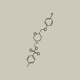 Cc1ccc(S(=O)(=O)OC[C@H]2CCC(COc3ccc(F)cc3)OC2)cc1